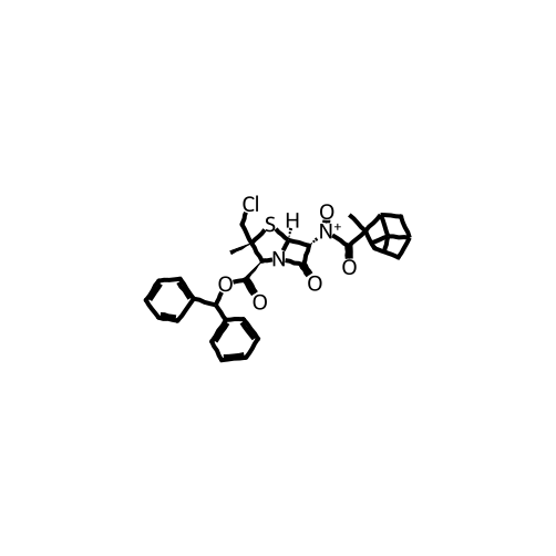 CC1(C(=O)[N+](=O)[C@@H]2C(=O)N3[C@@H](C(=O)OC(c4ccccc4)c4ccccc4)[C@](C)(CCl)S[C@@H]23)CCC2CC1C2(C)C